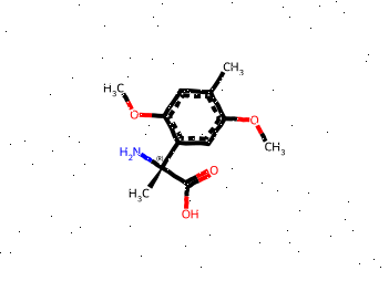 COc1cc([C@@](C)(N)C(=O)O)c(OC)cc1C